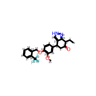 CCC1C(=O)CC(c2ccc(OCc3ccccc3C(F)(F)F)c(OC)c2)c2c[nH]nc21